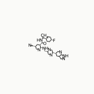 C[C@H](NC(=O)c1cc(C#N)cnc1NCc1cnc(-c2cnc3[nH]ncc3c2)cn1)c1ccc(F)cc1